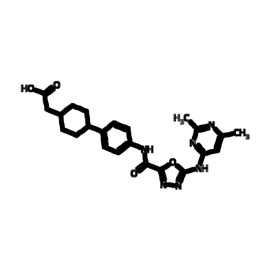 Cc1cc(Nc2nnc(C(=O)Nc3ccc(C4CCC(CC(=O)O)CC4)cc3)o2)nc(C)n1